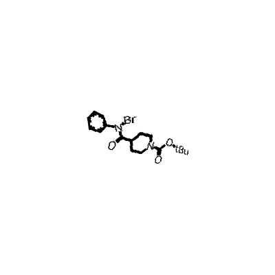 CC(C)(C)OC(=O)N1CCC(C(=O)N(Br)c2ccccc2)CC1